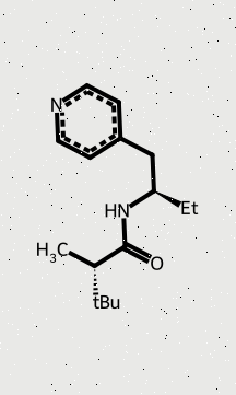 CC[C@H](Cc1ccncc1)NC(=O)[C@@H](C)C(C)(C)C